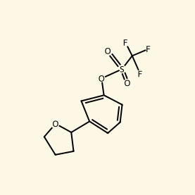 O=S(=O)(Oc1cccc(C2CCCO2)c1)C(F)(F)F